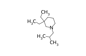 CCC1(CC)CCCN(CC(C)C)C1